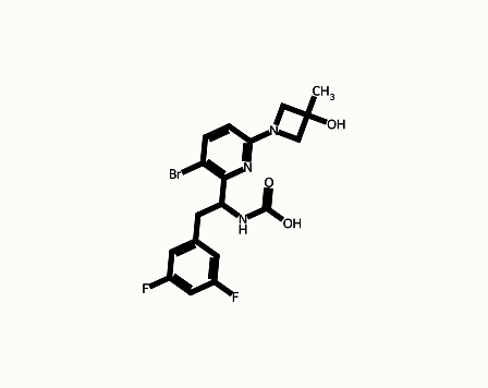 CC1(O)CN(c2ccc(Br)c(C(Cc3cc(F)cc(F)c3)NC(=O)O)n2)C1